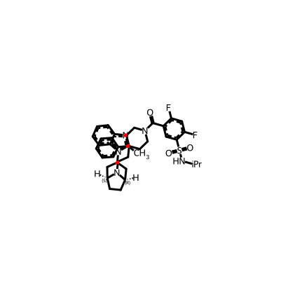 Cc1nc2ccccc2n1C1C[C@H]2CC[C@@H](C1)N2CCC1(c2ccccc2)CCN(C(=O)c2cc(S(=O)(=O)NC(C)C)c(F)cc2F)CC1